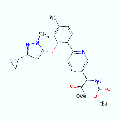 COC(=O)C(NC(=O)OC(C)(C)C)c1ccc(-c2ccc(C#N)cc2Oc2cc(C3CC3)nn2C)nc1